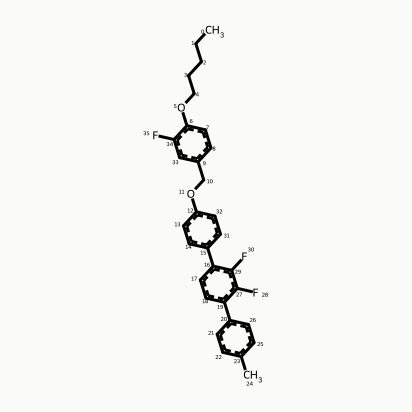 CCCCCOc1ccc(COc2ccc(-c3ccc(-c4ccc(C)cc4)c(F)c3F)cc2)cc1F